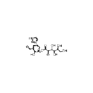 CC(=O)C(=O)C(O)C(O)C(O)CO.O=Cc1ccccc1O.c1c[nH]nn1